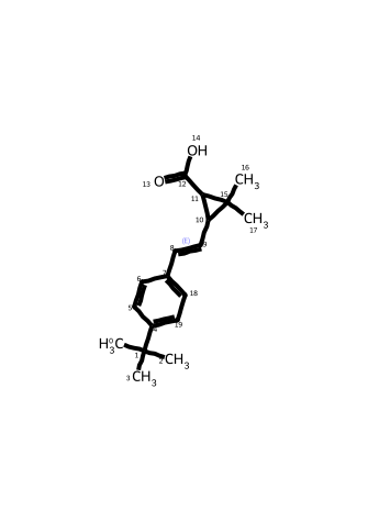 CC(C)(C)c1ccc(/C=C/C2C(C(=O)O)C2(C)C)cc1